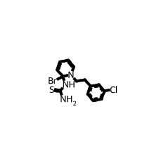 NC(=S)NC1(Br)C=CC=CN1CCc1cccc(Cl)c1